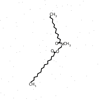 CCCCCCCCCCCCCCCC(=O)OCCN(C)C(=O)CCCCCCCCCCC